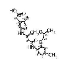 Cc1ccc(NC(=O)CC(=O)Nc2nc(CC(=O)O)c(Br)s2)c(OCC(C)C)c1